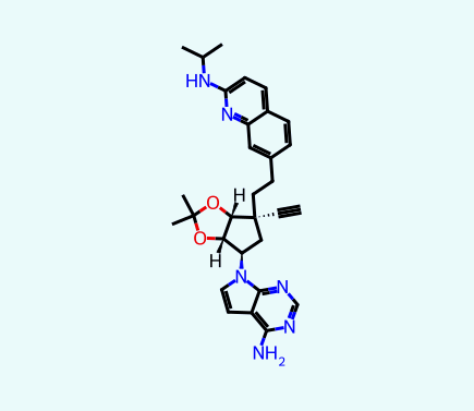 C#C[C@]1(CCc2ccc3ccc(NC(C)C)nc3c2)C[C@@H](n2ccc3c(N)ncnc32)[C@@H]2OC(C)(C)O[C@@H]21